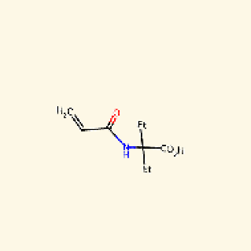 C=CC(=O)NC(CC)(CC)C(=O)O